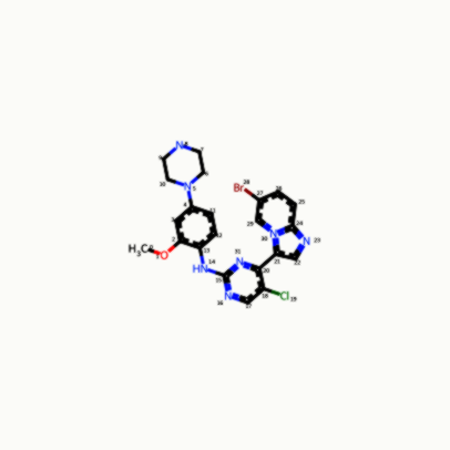 COc1cc(N2CC[N]CC2)ccc1Nc1ncc(Cl)c(-c2cnc3ccc(Br)cn23)n1